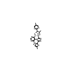 COc1ncnc(OC)c1-n1c(NSC(C)C(C)c2ncc(C)cn2)nnc1-c1nc(C)cs1